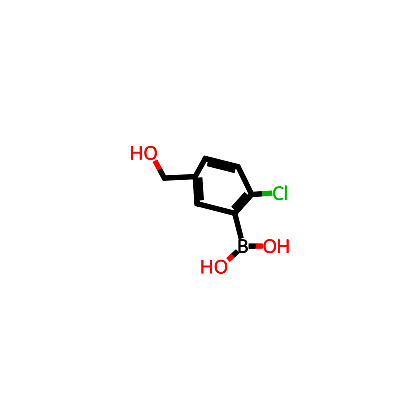 OCc1ccc(Cl)c(B(O)O)c1